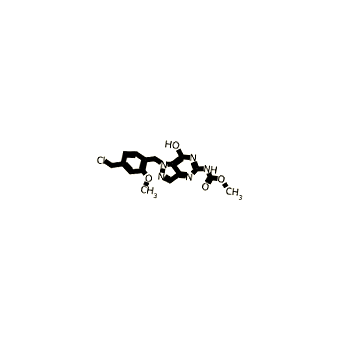 COC(=O)Nc1nc(O)c2c(cnn2Cc2ccc(CCl)cc2OC)n1